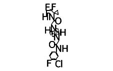 O=C(CN1C[C@@H]2C[C@H]1CN2CC(=O)NC1(C(F)(F)F)CC1)Nc1ccc(F)c(Cl)c1